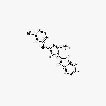 Nc1nc(Nc2cccc(Br)c2)nn1-c1nc2ccccc2s1